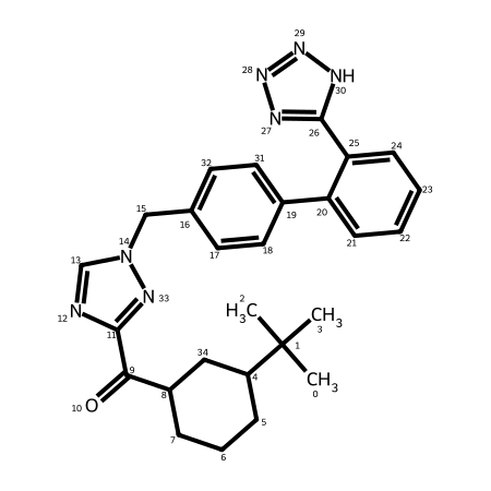 CC(C)(C)C1CCCC(C(=O)c2ncn(Cc3ccc(-c4ccccc4-c4nnn[nH]4)cc3)n2)C1